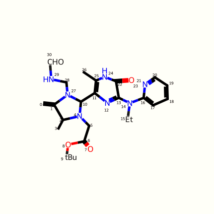 C=C1C(C)N(CC(=O)OC(C)(C)C)C(c2nc(N(CC)c3ccccn3)c(=O)[nH]c2C)N1CNC=O